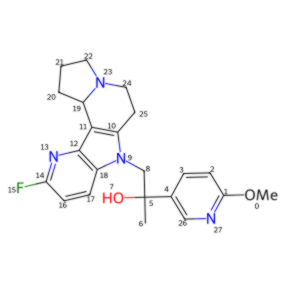 COc1ccc(C(C)(O)Cn2c3c(c4nc(F)ccc42)C2CCCN2CC3)cn1